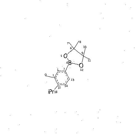 Cc1cc(B2OC(C)(C)C(C)(C)O2)ccc1C(C)C